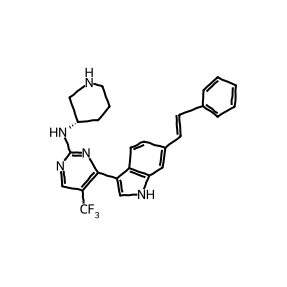 FC(F)(F)c1cnc(N[C@H]2CCCNC2)nc1-c1c[nH]c2cc(/C=C/c3ccccc3)ccc12